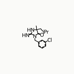 CC(C)CC1(C)NC(=N)N(Cc2cccc(Cl)c2)C1=O